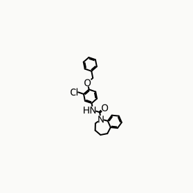 O=C(Nc1ccc(OCc2ccccc2)c(Cl)c1)N1CCCCc2ccccc21